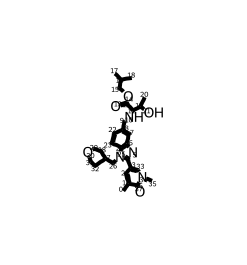 Cc1cc(-c2nc3cc(CNC(C(=O)OCC(C)C)C(C)O)ccc3n2CC2CCOCC2)cn(C)c1=O